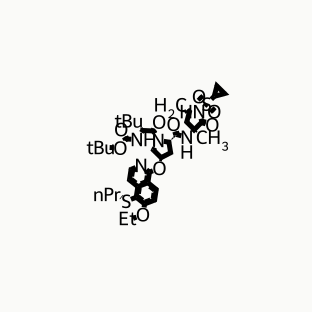 C=CC[C@](C)(NC(=O)[C@@H]1C[C@@H](Oc2nccc3c(SCCC)c(OCC)ccc23)CN1C(=O)[C@@H](NC(=O)OC(C)(C)C)C(C)(C)C)C(=O)NS(=O)(=O)C1CC1